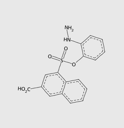 NNc1ccccc1OS(=O)(=O)c1cc(C(=O)O)cc2ccccc12